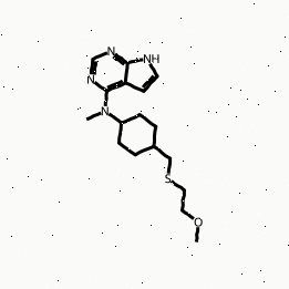 COCCSCC1CCC(N(C)c2ncnc3[nH]ccc23)CC1